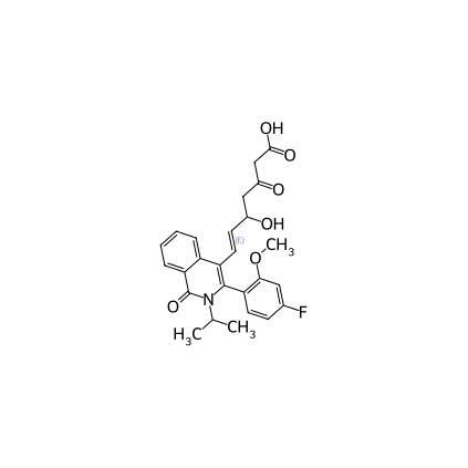 COc1cc(F)ccc1-c1c(/C=C/C(O)CC(=O)CC(=O)O)c2ccccc2c(=O)n1C(C)C